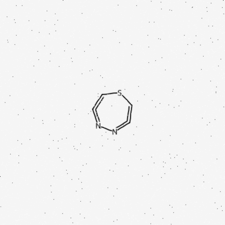 C1=CSC=C=NN=1